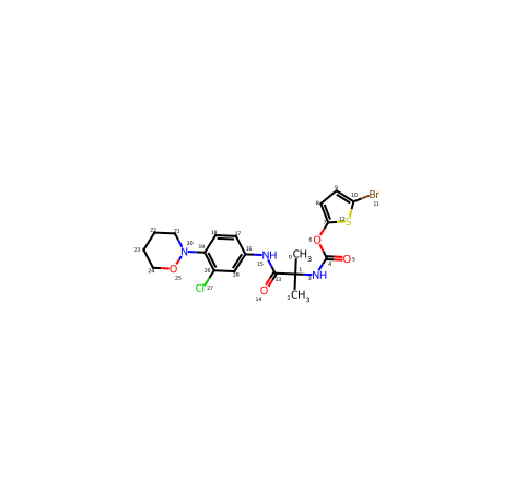 CC(C)(NC(=O)Oc1ccc(Br)s1)C(=O)Nc1ccc(N2CCCCO2)c(Cl)c1